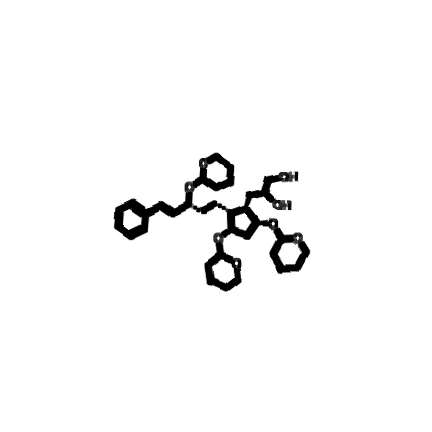 OCC(O)C[C@@H]1[C@@H](CC[C@H](CCc2ccccc2)OC2CCCCO2)[C@H](OC2CCCCO2)C[C@@H]1OC1CCCCO1